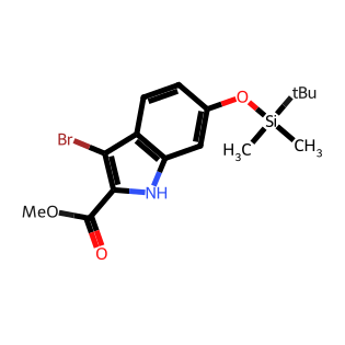 COC(=O)c1[nH]c2cc(O[Si](C)(C)C(C)(C)C)ccc2c1Br